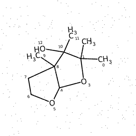 CC1(C)OC2OCCC2(C)C1(C)O